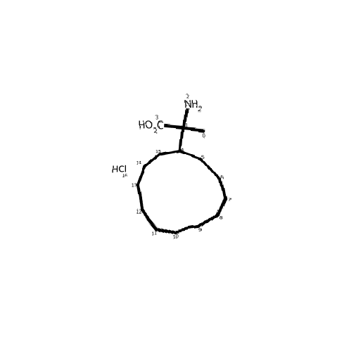 CC(N)(C(=O)O)C1CCCCCCCCCCC1.Cl